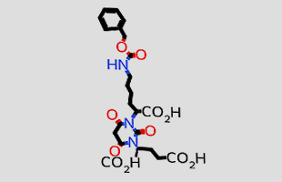 O=C(O)CC[C@@H](C(=O)O)N1C(=O)CC(=O)N(C(CCCCNC(=O)OCc2ccccc2)C(=O)O)C1=O